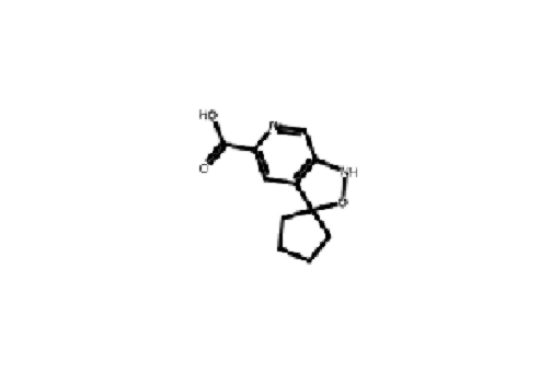 O=C(O)c1cc2c(cn1)NOC21CCCC1